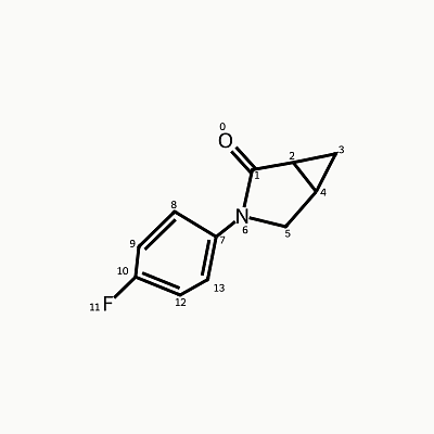 O=C1C2CC2CN1c1ccc(F)cc1